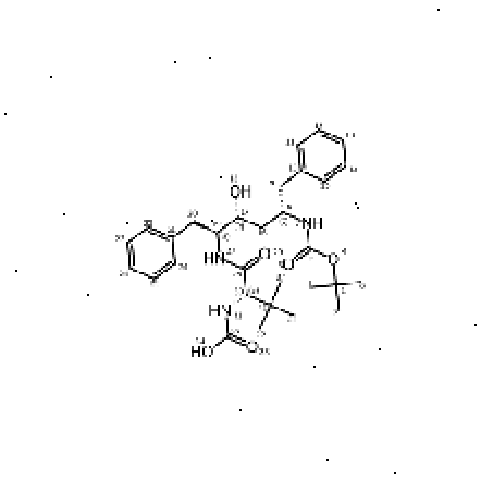 CC(C)(C)OC(=O)N[C@@H](Cc1ccccc1)C[C@@H](O)[C@H](Cc1ccccc1)NC(=O)[C@@H](NC(=O)O)C(C)(C)C